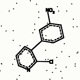 O=[N+]([O-])c1cccc(-c2cccnc2Cl)c1